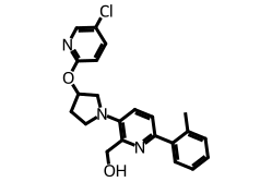 Cc1ccccc1-c1ccc(N2CCC(Oc3ccc(Cl)cn3)C2)c(CO)n1